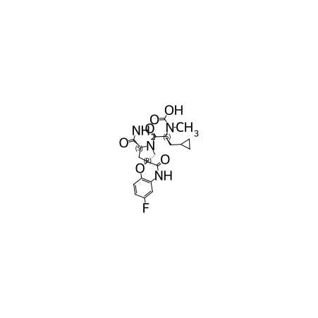 CN(C(=O)O)[C@@H](CC1CC1)C(=O)N1C[C@@]2(C[C@H]1C(N)=O)Oc1ccc(F)cc1NC2=O